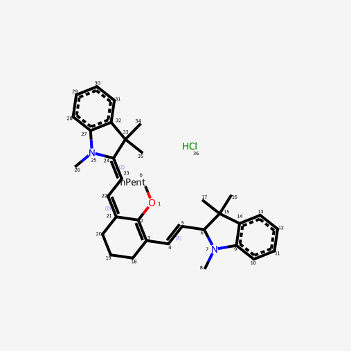 CCCCCOC1=C(/C=C/C2N(C)c3ccccc3C2(C)C)CCC/C1=C/C=C1\N(C)c2ccccc2C1(C)C.Cl